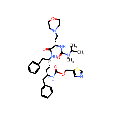 CC(C)N(C)C(=O)N[C@@H](CCN1CCOCC1)C(=O)N[C@H](CC[C@H](Cc1ccccc1)NC(=O)OCc1cncs1)Cc1ccccc1